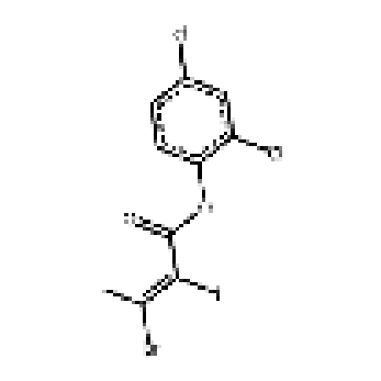 O=C(Oc1ccc(Cl)cc1Cl)/C(I)=C(/Br)I